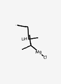 C[CH](C)[Mg][Cl].[CH2]CCC.[LiH]